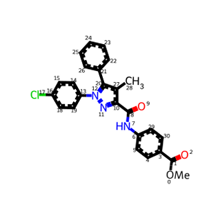 COC(=O)c1ccc(NC(=O)c2nn(-c3ccc(Cl)cc3)c(-c3ccccc3)c2C)cc1